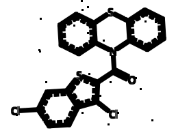 O=C(c1sc2cc(Cl)ccc2c1Cl)N1c2ccccc2Sc2ccccc21